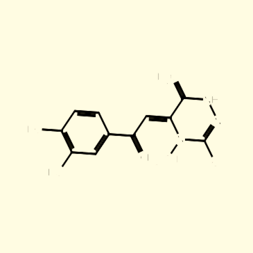 C=C1NN=C(C)N(C)/C1=C\C(=C)c1ccc(C)c(C)c1